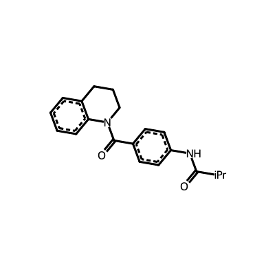 CC(C)C(=O)Nc1ccc(C(=O)N2CCCc3ccccc32)cc1